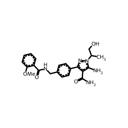 COc1ccccc1C(=O)NCc1ccc(-c2nn(C(C)CO)c(N)c2C(N)=O)cc1